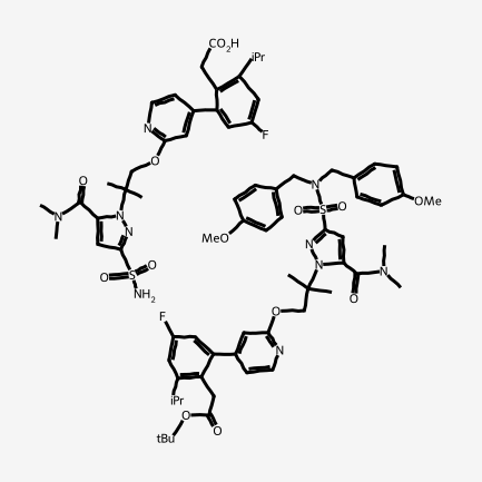 CC(C)c1cc(F)cc(-c2ccnc(OCC(C)(C)n3nc(S(N)(=O)=O)cc3C(=O)N(C)C)c2)c1CC(=O)O.COc1ccc(CN(Cc2ccc(OC)cc2)S(=O)(=O)c2cc(C(=O)N(C)C)n(C(C)(C)COc3cc(-c4cc(F)cc(C(C)C)c4CC(=O)OC(C)(C)C)ccn3)n2)cc1